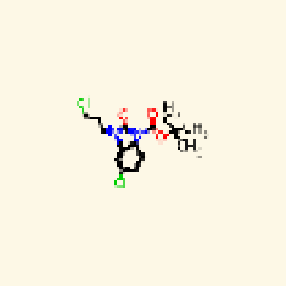 CC(C)(C)OC(=O)n1c(=O)n(CCCCl)c2cc(Cl)ccc21